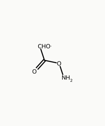 NOC(=O)[C]=O